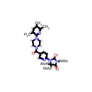 CNN1C(=O)N(c2ccc(C(=O)N3CCN(c4nc(C)c(C)cc4C)CC3)cn2)C(NC)(NC)C1=O